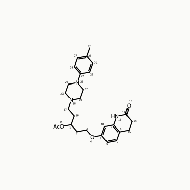 CC(=O)OC(CCOc1ccc2c(c1)NC(=O)CC2)CCN1CCN(c2ccc(C)cc2)CC1